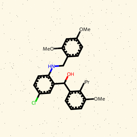 COc1ccc(CNc2ccc(Cl)cc2C(O)c2cccc(OC)c2C(C)C)c(OC)c1